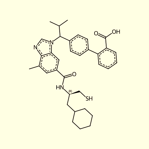 Cc1cc(C(=O)N[C@@H](CS)CC2CCCCC2)cc2c1ncn2C(c1ccc(-c2ccccc2C(=O)O)cc1)C(C)C